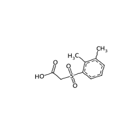 Cc1cccc(S(=O)(=O)CC(=O)O)c1C